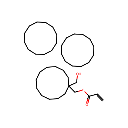 C1CCCCCCCCCCC1.C1CCCCCCCCCCC1.C=CC(=O)OCC1(CO)CCCCCCCCCCC1